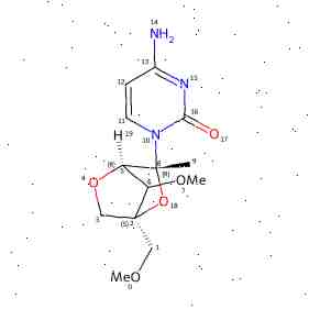 COC[C@]12CO[C@H](C1OC)[C@](C)(n1ccc(N)nc1=O)O2